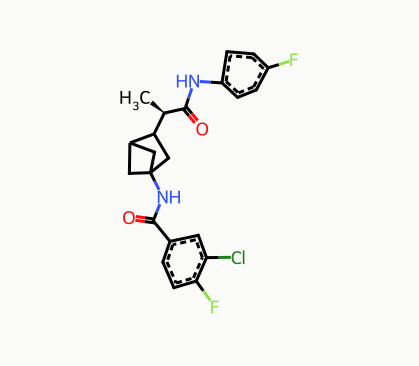 C[C@@H](C(=O)Nc1ccc(F)cc1)C1CC2(NC(=O)c3ccc(F)c(Cl)c3)CC1C2